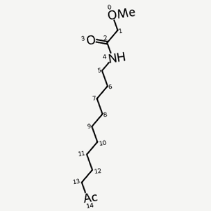 COCC(=O)NCCCCCCCCCC(C)=O